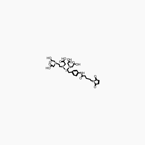 O=C(O)CN(CCN(CC(=O)O)C[C@@H](Cc1ccc(NC(=O)CCCCN2C(=O)C=CC2=O)cc1)N(CC(=O)O)CC(=O)O)CC(=O)O